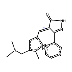 Cc1[nH]c(/C=C2/C(=O)NN=C2c2cnccn2)cc1CN(C)C